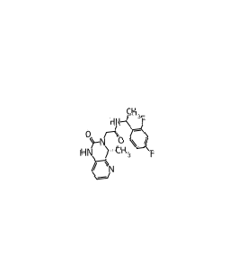 C[C@H](NC(=O)CN1C(=O)Nc2cccnc2[C@H]1C)c1ccc(F)cc1F